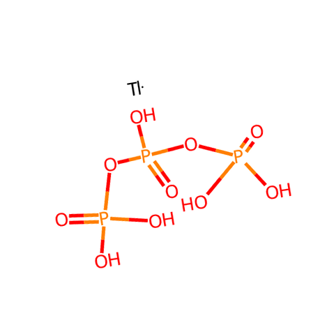 O=P(O)(O)OP(=O)(O)OP(=O)(O)O.[Tl]